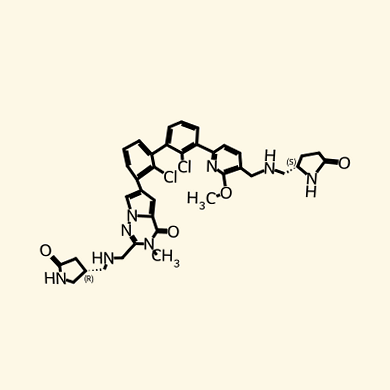 COc1nc(-c2cccc(-c3cccc(-c4cc5c(=O)n(C)c(CNC[C@@H]6CNC(=O)C6)nn5c4)c3Cl)c2Cl)ccc1CNC[C@@H]1CCC(=O)N1